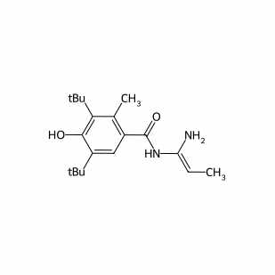 CC=C(N)NC(=O)c1cc(C(C)(C)C)c(O)c(C(C)(C)C)c1C